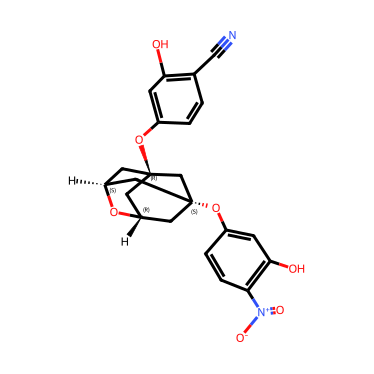 N#Cc1ccc(O[C@@]23C[C@@H]4C[C@@](Oc5ccc([N+](=O)[O-])c(O)c5)(C[C@H](C2)O4)C3)cc1O